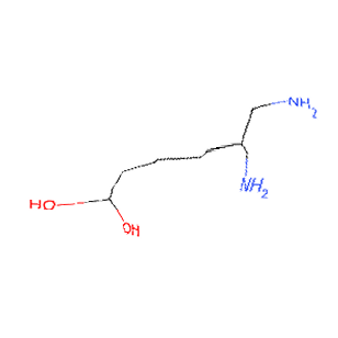 NCC(N)CCCC(O)O